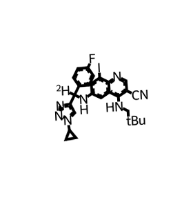 [2H]C(Nc1cc(I)c2ncc(C#N)c(NCC(C)(C)C)c2c1)(c1ccc(F)cc1)c1cn(C2CC2)nn1